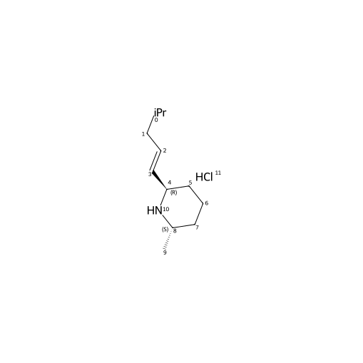 CC(C)CC=C[C@H]1CCC[C@H](C)N1.Cl